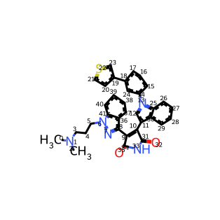 CN(C)CCCn1nc(C2=C(c3cn(-c4cccc(-c5ccsc5)c4)c4ccccc34)C(=O)NC2=O)c2ccccc21